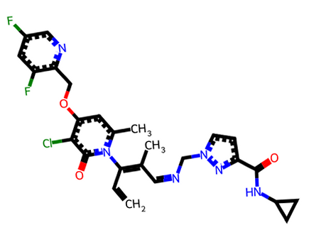 C=C/C(=C(C)\C=N/Cn1ccc(C(=O)NC2CC2)n1)n1c(C)cc(OCc2ncc(F)cc2F)c(Cl)c1=O